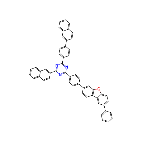 c1ccc(-c2ccc3oc4cc(-c5ccc(-c6nc(-c7ccc(-c8ccc9ccccc9c8)cc7)nc(-c7ccc8ccccc8c7)n6)cc5)ccc4c3c2)cc1